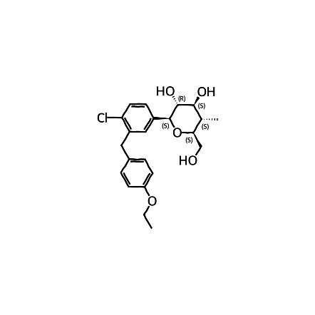 CCOc1ccc(Cc2cc([C@@H]3O[C@H](CO)[C@@H](C)[C@H](O)[C@H]3O)ccc2Cl)cc1